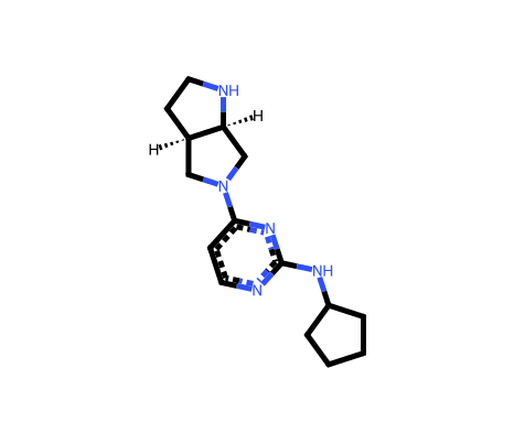 c1cc(N2C[C@H]3CCN[C@H]3C2)nc(NC2CCCC2)n1